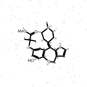 COC(=O)C(C)(C)Sc1ccc2c(c1)C(=C1CCN(C)CC1)c1sccc1CO2.Cl